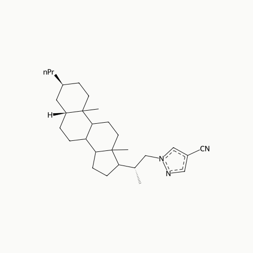 CCC[C@H]1CCC2(C)C3CCC4(C)C(CCC4[C@@H](C)Cn4cc(C#N)cn4)C3CC[C@@H]2C1